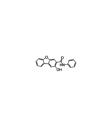 O=C(Nc1ccccc1)c1cc2oc3ccccc3c2cc1O